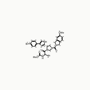 COC(=O)NC(C(=O)N1CN(C(=O)N2Cc3ccc(OC)cc3C2)C[C@H]1c1nc(-c2ccc(Br)cc2)c[nH]1)C(C)C